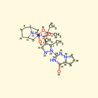 Cc1c(C(=O)N2CC3CCCC(C2)N3C(=O)OC(C)(C)C)cnn1-c1nn2cccc2c(=O)[nH]1